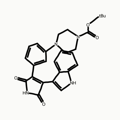 CC(C)(C)OC(=O)N1CCN(c2cccc(C3=C(c4c[nH]c5ccccc45)C(=O)NC3=O)c2)CC1